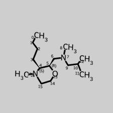 CCCC[C@H]1[C@@H](CN(C)CC(C)C)OCCN1C